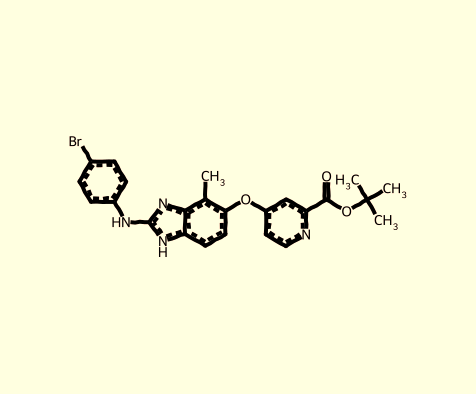 Cc1c(Oc2ccnc(C(=O)OC(C)(C)C)c2)ccc2[nH]c(Nc3ccc(Br)cc3)nc12